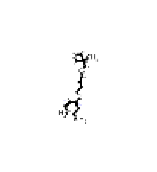 C=C/C=C(\C=C/C)OCCCCOCC1(C)COC1